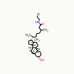 CC(CCCC(C)[C@H]1CC[C@H]2[C@@H]3CC=C4C[C@@H](O)CC[C@]4(C)[C@H]3CC[C@]12C)CC(=O)NCCBr